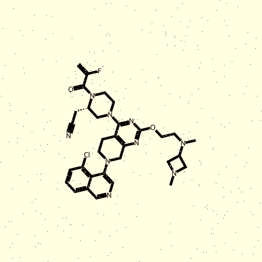 C=C(F)C(=O)N1CCN(c2nc(OCCN(C)C3CN(C)C3)nc3c2CCN(c2cncc4cccc(Cl)c24)C3)C[C@@H]1CC#N